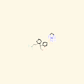 C[C@@]1(c2ccc(C(F)(F)F)cc2CCC(F)F)CCOc2cc(S(=O)(=O)Nc3ncccn3)ccc21